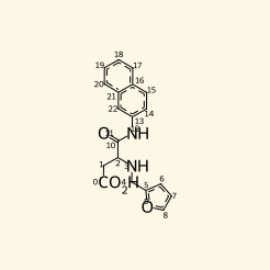 O=C(O)CC(NCc1ccco1)C(=O)Nc1ccc2ccccc2c1